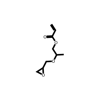 C=CC(=O)OCC(C)OCC1CO1